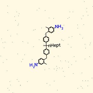 CCCCCCCC(C)(c1ccc(Cc2ccc(N)cc2C)cc1)c1ccc(Cc2ccc(N)cc2C)cc1